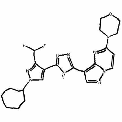 FC(F)c1nn(C2CCCCC2)cc1-c1nnc(-c2cnn3ccc(N4CCOCC4)nc23)[nH]1